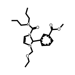 CCCN(CCC)C(=O)N1C=CN(COCC)C1c1cccc(C(=O)OC)c1